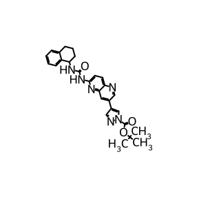 CC(C)(C)OC(=O)n1cc(-c2cnc3ccc(NC(=O)NC4CCCc5ccccc54)nc3c2)cn1